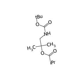 CC(C)C(=O)OC(C)(C)CNC(=O)OC(C)(C)C